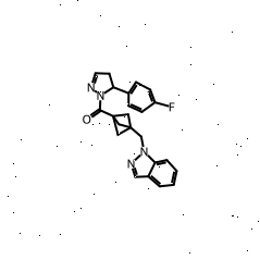 O=C(N1N=CCC1c1ccc(F)cc1)C12CC(Cn3ncc4ccccc43)(C1)C2